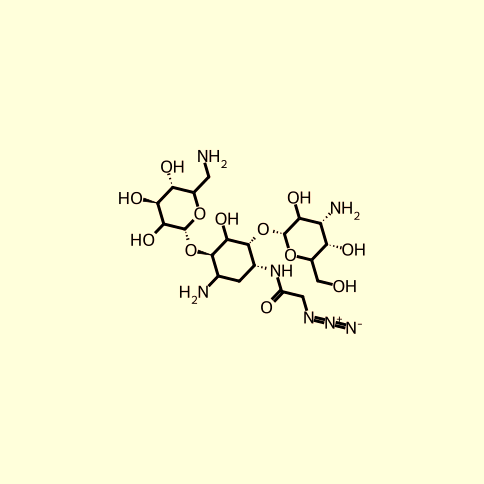 [N-]=[N+]=NCC(=O)N[C@@H]1CC(N)[C@@H](O[C@H]2OC(CN)[C@@H](O)[C@H](O)C2O)C(O)[C@@H]1O[C@H]1OC(CO)[C@@H](O)[C@@H](N)C1O